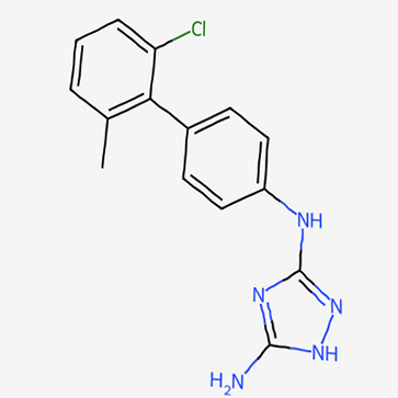 Cc1cccc(Cl)c1-c1ccc(Nc2n[nH]c(N)n2)cc1